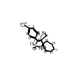 NCC1=C(c2ccc(Cl)cc2)S(=O)(=O)NC12CCCCC2